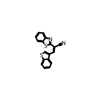 N#C/C(=C/c1csc2ccccc12)c1nc2ccccc2s1